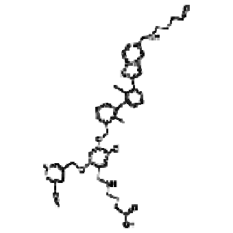 Cc1c(COc2cc(OCc3cncc(C#N)c3)c(CNCCCC(=O)O)cc2Cl)cccc1-c1cccc(-c2cn3cc(CNCCCC=O)ccc3n2)c1C